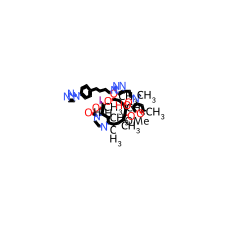 CO[C@]1(C)C[C@@H](C)C2=NCCN3C(=O)O[C@@](C)([C@@H]3[C@H]2C)[C@@H](I)OC(=O)[C@H](C)C(=O)[C@H](C)[C@H]1O[C@@H]1O[C@H](C)C[C@H](N(C)CCc2cn(CCCCc3ccc(-n4ccnn4)cc3)nn2)[C@H]1O